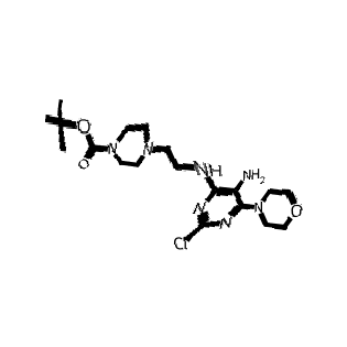 CC(C)(C)OC(=O)N1CCN(CCNc2nc(Cl)nc(N3CCOCC3)c2N)CC1